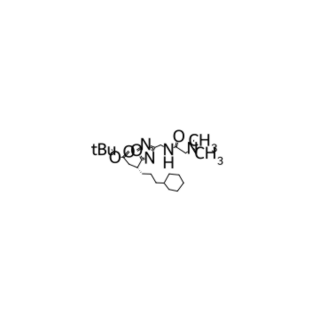 CN(C)CC(=O)NCc1noc([C@H](CCCC2CCCCC2)CC(=O)OC(C)(C)C)n1